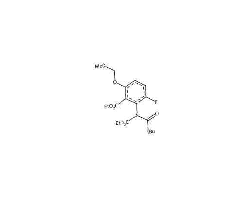 CCOC(=O)c1c(OCOC)ccc(F)c1N(C(=O)OCC)C(=O)C(C)(C)C